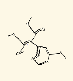 COC(=O)/C(=C(/O)OC)c1cc(SC)ncn1